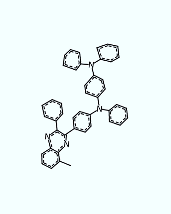 Cc1cccc2nc(-c3ccccc3)c(-c3ccc(N(c4ccccc4)c4ccc(N(c5ccccc5)c5ccccc5)cc4)cc3)nc12